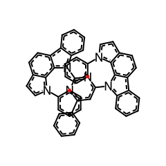 c1ccc(-c2cc(-n3c4ccccc4c4ccc5ccn(-c6ccccc6)c5c43)nc(-n3c4ccccc4c4ccc5ccn(-c6ccccc6)c5c43)n2)cc1